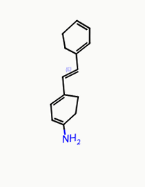 NC1=CC=C(/C=C/C2=CC=CCC2)CC1